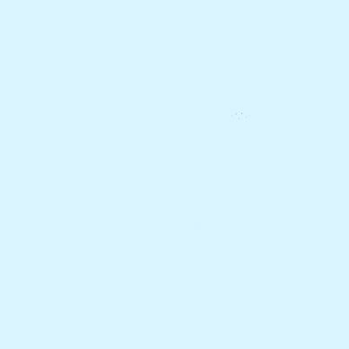 COc1ccc(F)c(C2CCCCC2)c1